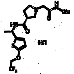 CC(NC(=O)[C@@H]1CCN(CC(=O)NC(C)(C)C)C1)c1ccc(OCC(F)(F)F)s1.Cl